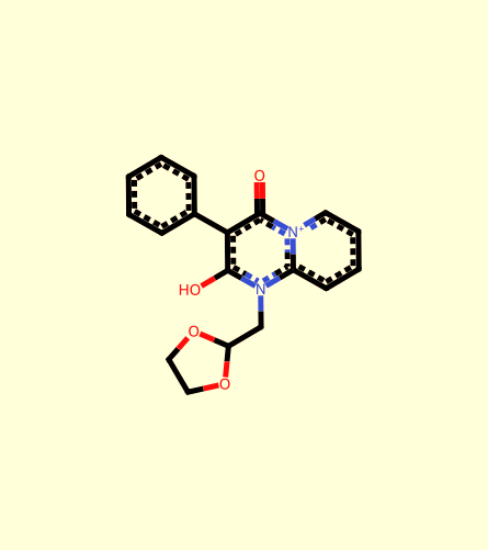 O=c1c(-c2ccccc2)c(O)n(CC2OCCO2)c2cccc[n+]12